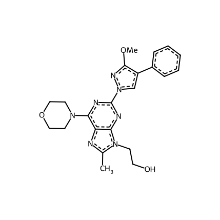 COc1nn(-c2nc(N3CCOCC3)c3nc(C)n(CCO)c3n2)cc1-c1ccccc1